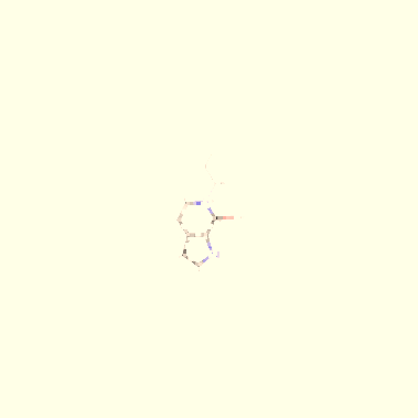 O=c1c2[nH]ccc2ccn1CCF